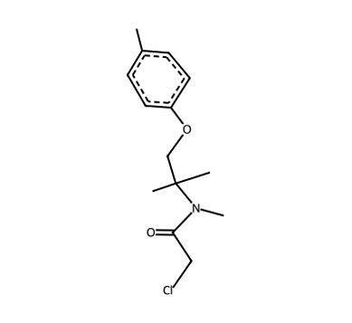 Cc1ccc(OCC(C)(C)N(C)C(=O)CCl)cc1